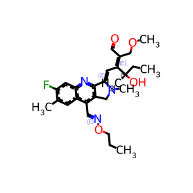 CCCO/N=C/c1c2c(nc3cc(F)c(C)cc13)/C(=C/C(=C(\C=O)COC)[C@@](C)(O)CC)N(C)C2